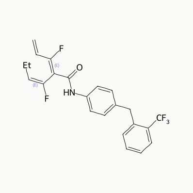 C=C/C(F)=C(C(=O)Nc1ccc(Cc2ccccc2C(F)(F)F)cc1)\C(F)=C/CC